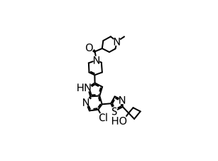 CN1CCC(C(=O)N2CC=C(c3cc4c(-c5cnc(C6(O)CCC6)s5)c(Cl)cnc4[nH]3)CC2)CC1